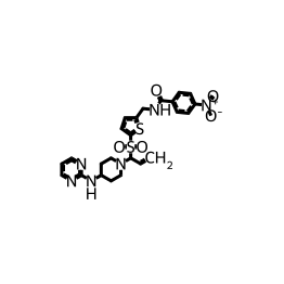 C=CC(N1CCC(Nc2ncccn2)CC1)S(=O)(=O)c1ccc(CNC(=O)c2ccc([N+](=O)[O-])cc2)s1